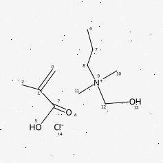 C=C(C)C(=O)O.CCC[N+](C)(C)CO.[Cl-]